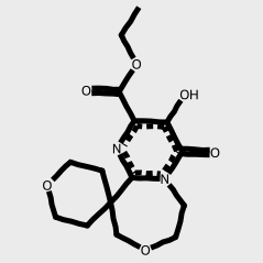 CCOC(=O)c1nc2n(c(=O)c1O)CCOCC21CCOCC1